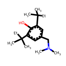 CCC(C)(C)c1cc(CN(C)C)cc(C(C)(C)CC)c1O